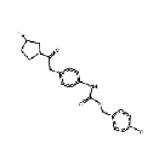 O=C(NCc1ccc(Cl)cc1)Nc1ccc(CC(=O)N2CC[C@@H](O)C2)cc1